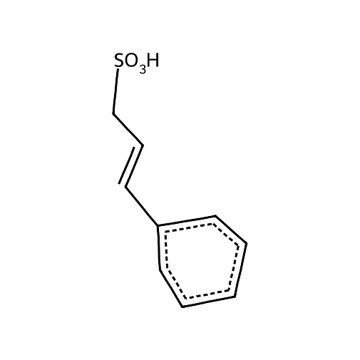 O=S(=O)(O)CC=Cc1ccccc1